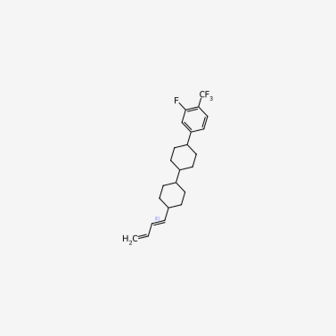 C=C/C=C/C1CCC(C2CCC(c3ccc(C(F)(F)F)c(F)c3)CC2)CC1